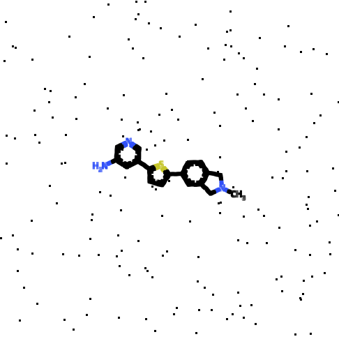 CN1Cc2ccc(-c3ccc(-c4cncc(N)c4)s3)cc2C1